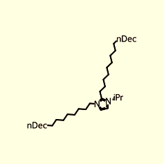 CCCCCCCCCCCCCCCCCCCc1n(CCCCCCCCCCCCCCCCCC)cc[n+]1C(C)C